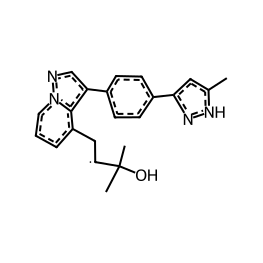 Cc1cc(-c2ccc(-c3cnn4cccc(C[CH]C(C)(C)O)c34)cc2)n[nH]1